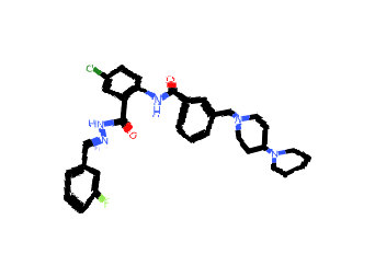 O=C(Nc1ccc(Cl)cc1C(=O)N/N=C/c1cccc(F)c1)c1cccc(CN2CCC(N3CCCCC3)CC2)c1